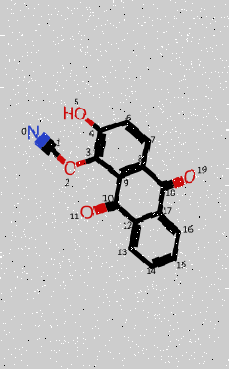 N#COc1c(O)ccc2c1C(=O)c1ccccc1C2=O